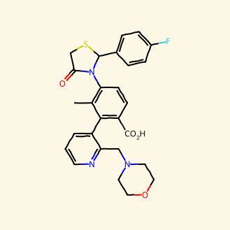 Cc1c(N2C(=O)CSC2c2ccc(F)cc2)ccc(C(=O)O)c1-c1cccnc1CN1CCOCC1